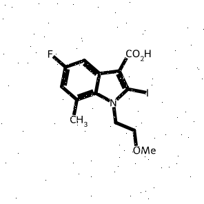 COCCn1c(I)c(C(=O)O)c2cc(F)cc(C)c21